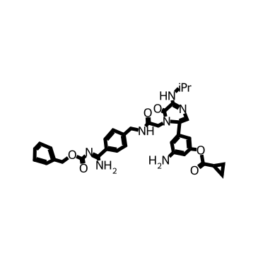 CC(C)Nc1ncc(-c2cc(N)cc(OC(=O)C3CC3)c2)n(CC(=O)NCc2ccc(/C(N)=N/C(=O)OCc3ccccc3)cc2)c1=O